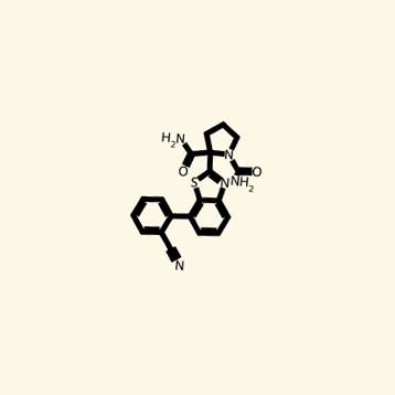 N#Cc1ccccc1-c1cccc2nc(C3(C(N)=O)CCCN3C(N)=O)sc12